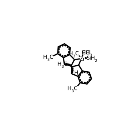 CC1=Cc2c(C)cccc2[CH]1[Zr]([CH3])([CH3])(=[SiH2])[CH]1C(C)=Cc2c(C)cccc21.Cl